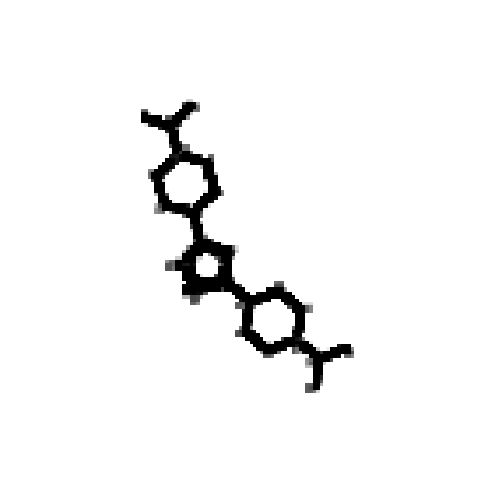 CC(C)N1CCC(c2cc(C3CCN(C(C)C)CC3)[nH]n2)CC1